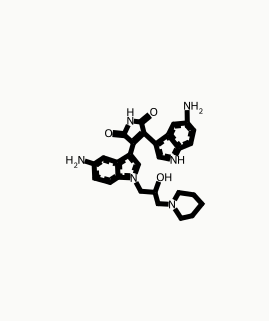 Nc1ccc2[nH]cc(C3=C(c4cn(CC(O)CN5CCCCC5)c5ccc(N)cc45)C(=O)NC3=O)c2c1